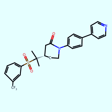 CC(C)([C@H]1CCN(c2ccc(-c3ccncc3)cc2)C(=O)C1)S(=O)(=O)c1cccc(C(F)(F)F)c1